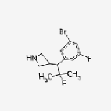 CC(C)(F)C(c1cc(F)cc(Br)c1)C1CNC1